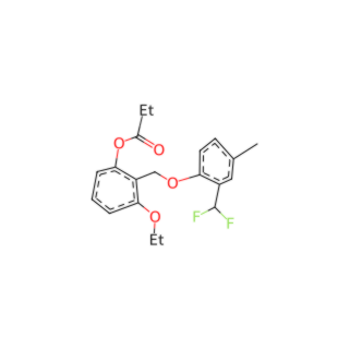 CCOc1cccc(OC(=O)CC)c1COc1ccc(C)cc1C(F)F